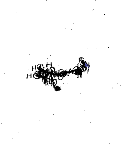 C/N=C/[C@H]1CC(F)(F)CN1C(=O)CNC(=O)c1ccnc2ccc(OCCCCC3CCN(C(=O)[C@H](O)CSCCNC(=O)[C@H](CSCCNC(=O)CCCc4ccc(C)cc4)NC(=O)CN4CCN(CC(=O)O)CCN(CC(=O)O)CCN(CC(=O)O)CC4)CC3)cc12